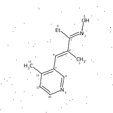 CCC(=N\O)/C(C)=C/c1cnccc1C